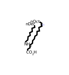 CCCCCCCC/C=C\CCCCCCCCCCCC(=O)O.CCCCCCCCCCCCCCCCCCN